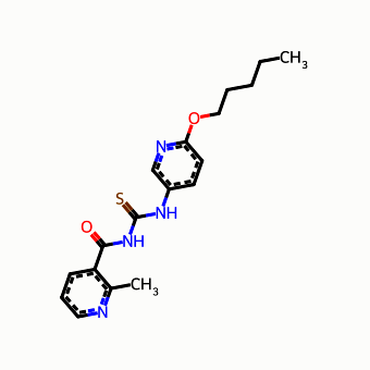 CCCCCOc1ccc(NC(=S)NC(=O)c2cccnc2C)cn1